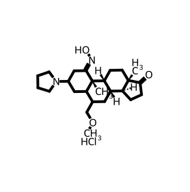 COCC1C[C@@H]2[C@@H](CC[C@]3(C)C(=O)CC[C@@H]23)[C@@]2(C)C(=NO)CC(N3CCCC3)CC12.Cl